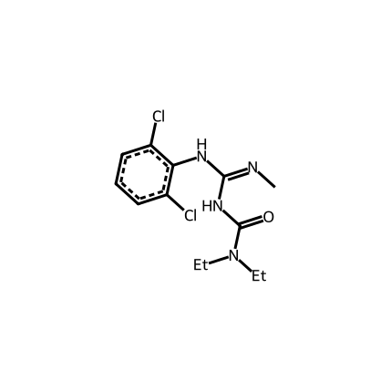 CCN(CC)C(=O)N/C(=N\C)Nc1c(Cl)cccc1Cl